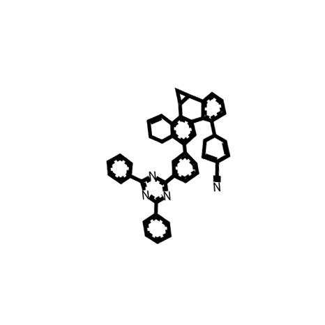 N#CC1=CCC(c2cccc3c2-c2cc(-c4cccc(-c5nc(-c6ccccc6)nc(-c6ccccc6)n5)c4)c4c(c2C2CC32)C=CCC4)C=C1